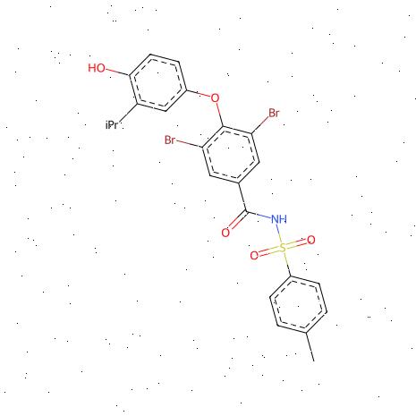 Cc1ccc(S(=O)(=O)NC(=O)c2cc(Br)c(Oc3ccc(O)c(C(C)C)c3)c(Br)c2)cc1